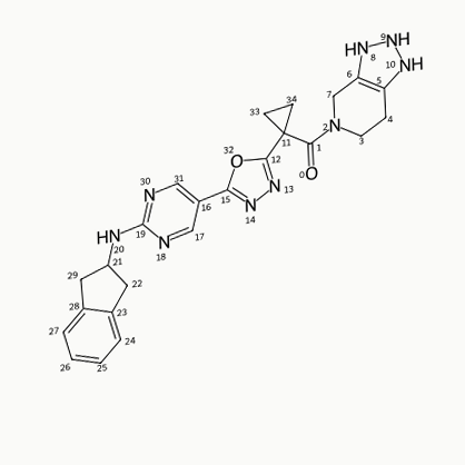 O=C(N1CCC2=C(C1)NNN2)C1(c2nnc(-c3cnc(NC4Cc5ccccc5C4)nc3)o2)CC1